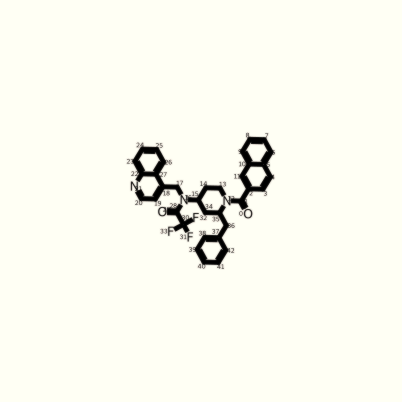 O=C(c1ccc2ccccc2c1)N1CCC(N(Cc2ccnc3ccccc23)C(=O)C(F)(F)F)CC1Cc1ccccc1